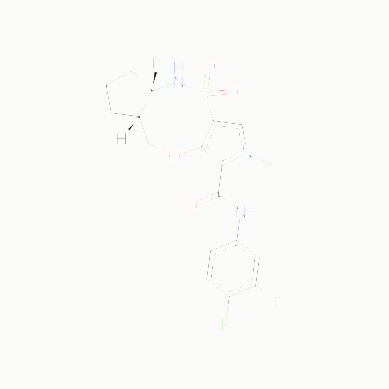 Cn1cc2c(c1C(=O)Nc1ccc(F)c(F)c1)OC[C@@H]1CCC[C@@H]1NS2(=O)=O